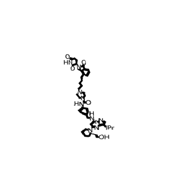 CC(C)c1cnn2c(NCc3ccc(NC(=O)N4CCN(CCCCCc5cccc6c5CN(C5CCC(=O)NC5=O)C6=O)CC4)cc3)cc(N3CCCC[C@@H]3CCO)nc12